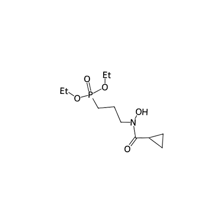 CCOP(=O)(CCCN(O)C(=O)C1CC1)OCC